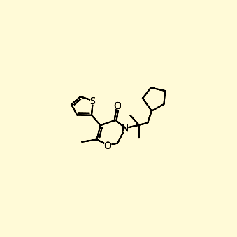 CC1=C(c2cccs2)C(=O)N(C(C)(C)CC2CCCC2)CO1